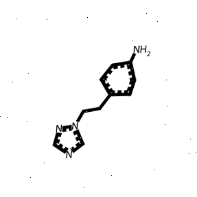 Nc1ccc(CCn2cncn2)cc1